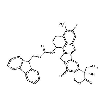 CC[C@@]1(O)C(=O)OCc2c1cc1n(c2=O)Cc2c-1nc1cc(F)c(C)c3c1c2[C@@H](NC(=O)OCC1c2ccccc2-c2ccccc21)CC3